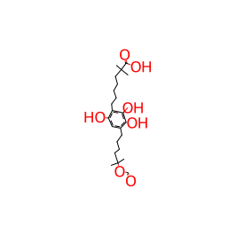 CC(C)(CCCCc1cc(O)c(CCCCCC(C)(C)C(=O)O)c(O)c1O)OC=O